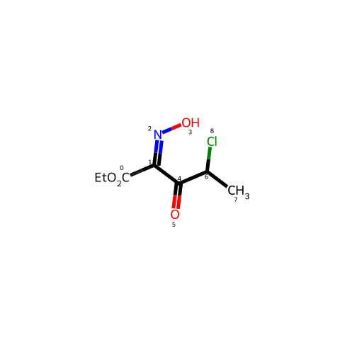 CCOC(=O)C(=NO)C(=O)C(C)Cl